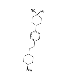 CCCC[C@H]1CC[C@H](CCc2ccc(C3CCC(C#N)(CCC)CC3)cc2)CC1